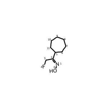 ON=C(CF)C1CCCCCC1